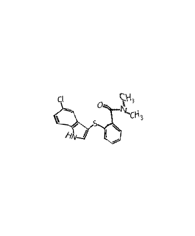 CN(C)C(=O)c1ccccc1Sc1c[nH]c2ccc(Cl)cc12